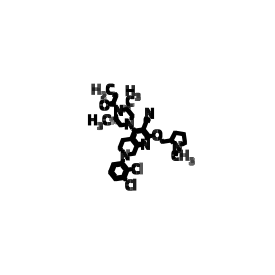 C=CC(=O)N1[C@H](C)CN(c2c(C#N)c(OCC3CCCN3C)nc3c2CCN(c2cccc(Cl)c2Cl)C3)C[C@@H]1C